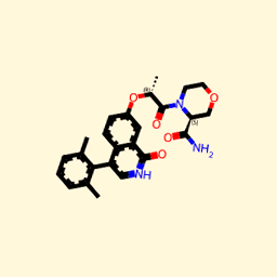 Cc1cccc(C)c1-c1c[nH]c(=O)c2cc(O[C@H](C)C(=O)N3CCOC[C@H]3C(N)=O)ccc12